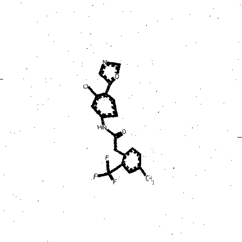 Cc1ccc(CC(=O)Nc2ccc(-c3cnco3)c(Cl)c2)c(C(F)(F)F)c1